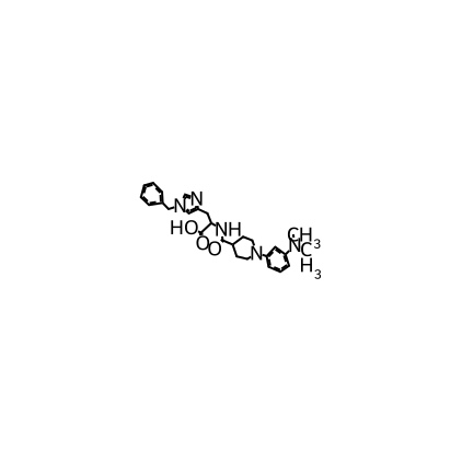 CN(C)c1cccc(N2CCC(C(=O)NC(Cc3cn(Cc4ccccc4)cn3)C(=O)O)CC2)c1